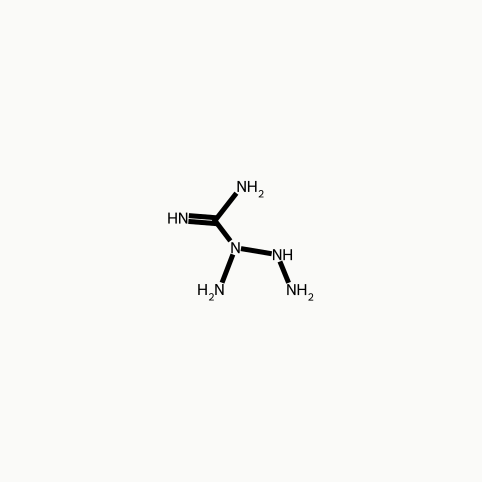 N=C(N)N(N)NN